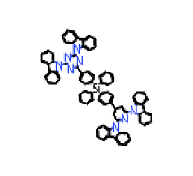 c1ccc([Si](c2ccccc2)(c2ccc(-c3cc(-n4c5ccccc5c5ccccc54)nc(-n4c5ccccc5c5ccccc54)c3)cc2)c2ccc(-c3nc(-n4c5ccccc5c5ccccc54)nc(-n4c5ccccc5c5ccccc54)n3)cc2)cc1